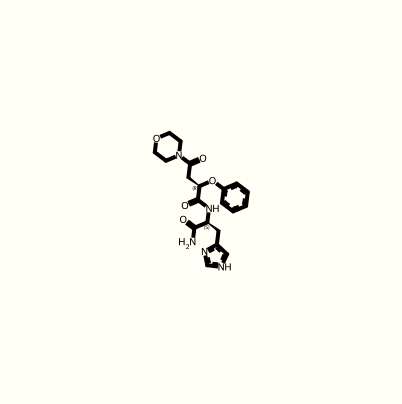 NC(=O)[C@H](Cc1c[nH]cn1)NC(=O)[C@@H](CC(=O)N1CCOCC1)Oc1ccccc1